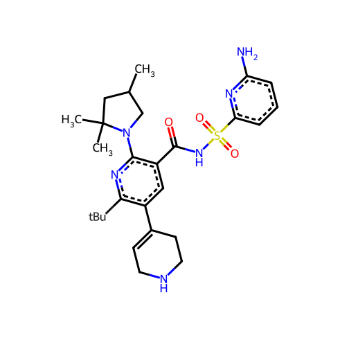 CC1CN(c2nc(C(C)(C)C)c(C3=CCNCC3)cc2C(=O)NS(=O)(=O)c2cccc(N)n2)C(C)(C)C1